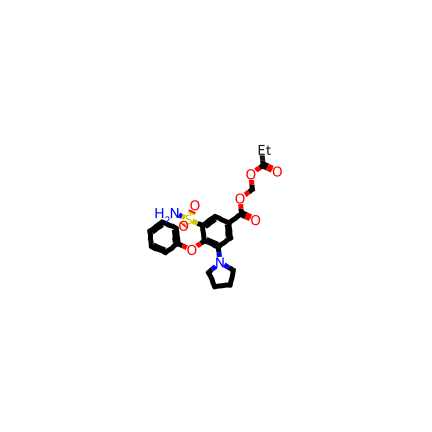 CCC(=O)OCOC(=O)c1cc(N2CCCC2)c(Oc2ccccc2)c(S(N)(=O)=O)c1